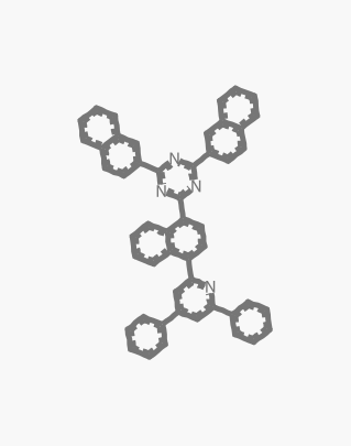 c1ccc(-c2cc(-c3ccccc3)nc(-c3ccc(-c4nc(-c5ccc6ccccc6c5)nc(-c5ccc6ccccc6c5)n4)c4ccccc34)c2)cc1